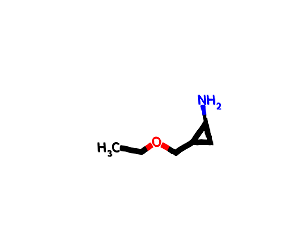 CCOCC1C[C@@H]1N